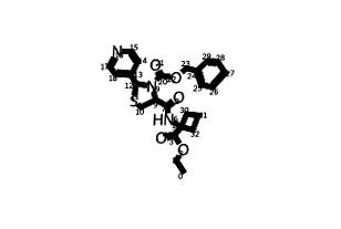 CCOC(=O)C1(NC(=O)C2CSC(c3ccncc3)N2C(=O)OCc2ccccc2)CCC1